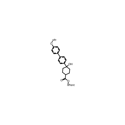 CCCCCOC(=O)C1CCC(O)(c2ccc(-c3ccc(OCCC)cc3)cc2)CC1